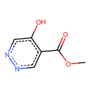 COC(=O)c1cnncc1O